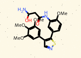 COc1ccc(-c2sncc2-c2cc(OC)c(OC)c(OC)c2)cc1NC(=O)CC(N)O